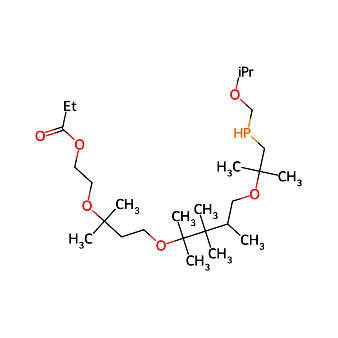 CCC(=O)OCCOC(C)(C)CCOC(C)(C)C(C)(C)C(C)COC(C)(C)CPCOC(C)C